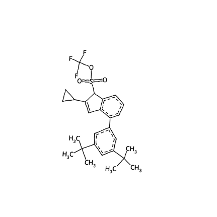 CC(C)(C)c1cc(-c2cccc3c2C=C(C2CC2)C3S(=O)(=O)OC(F)(F)F)cc(C(C)(C)C)c1